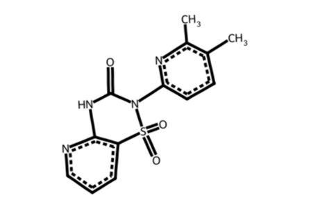 Cc1ccc(N2C(=O)Nc3ncccc3S2(=O)=O)nc1C